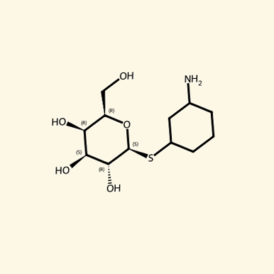 NC1CCCC(S[C@@H]2O[C@H](CO)[C@H](O)[C@H](O)[C@H]2O)C1